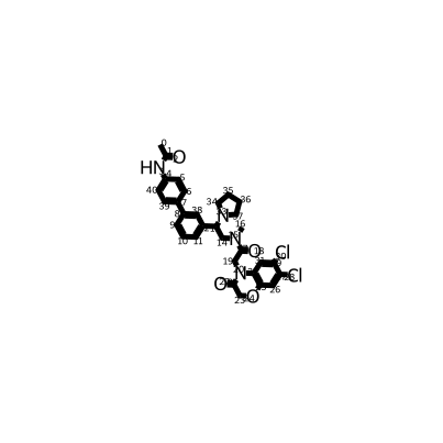 CC(=O)Nc1ccc(-c2cccc(C(CN(C)C(=O)CN3C(=O)COc4cc(Cl)c(Cl)cc43)N3CCCC3)c2)cc1